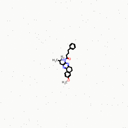 COc1ccc2c(c1)CCc1nc(NC(=O)CCCc3ccccc3)c(CC(C)C)nc1-2